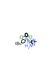 Cc1nc(N)c2nc(N(c3c(Cl)cccc3Cl)C3CCC(C(C)(C)C)CC3)sc2n1